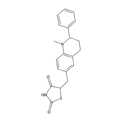 CN1c2ccc(CC3SC(=O)NC3=O)cc2CCC1c1ccccc1